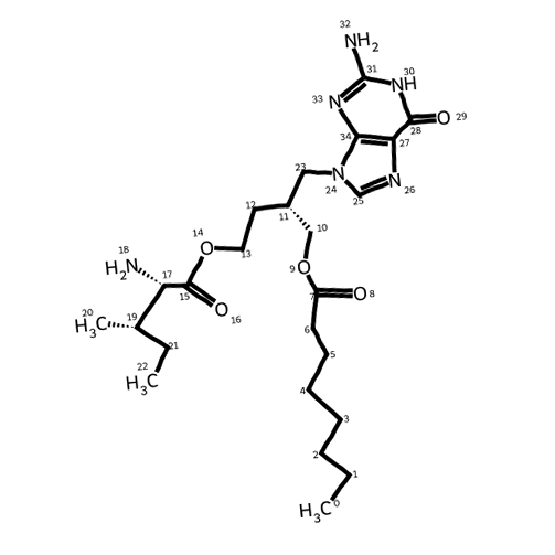 CCCCCCCC(=O)OC[C@H](CCOC(=O)[C@@H](N)[C@@H](C)CC)Cn1cnc2c(=O)[nH]c(N)nc21